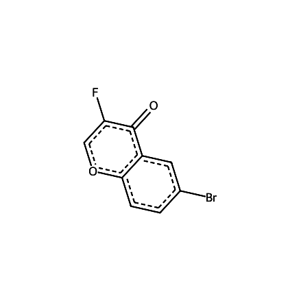 O=c1c(F)coc2ccc(Br)cc12